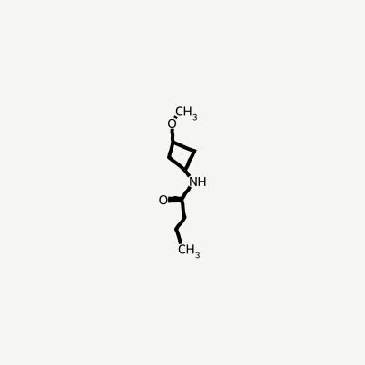 CCCC(=O)NC1CC(OC)C1